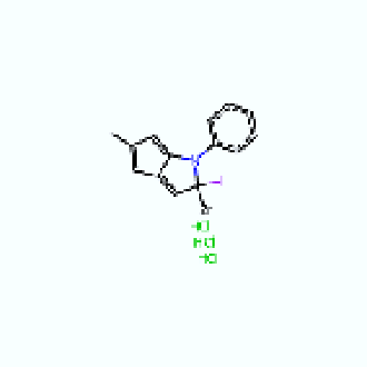 CC1=CC2=C[C]([Zr])(I)N(c3ccccc3)C2=C1.Cl.Cl.Cl